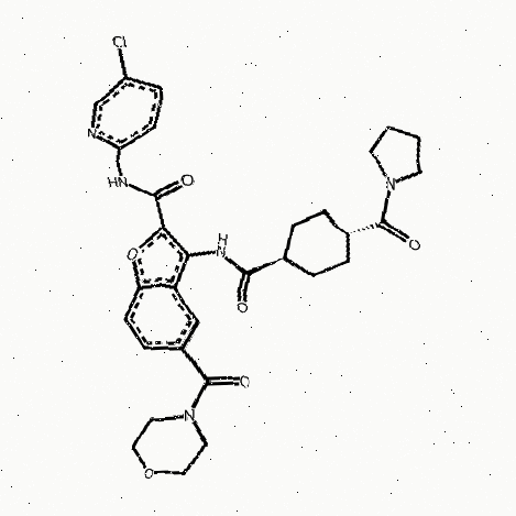 O=C(Nc1ccc(Cl)cn1)c1oc2ccc(C(=O)N3CCOCC3)cc2c1NC(=O)[C@H]1CC[C@H](C(=O)N2CCCC2)CC1